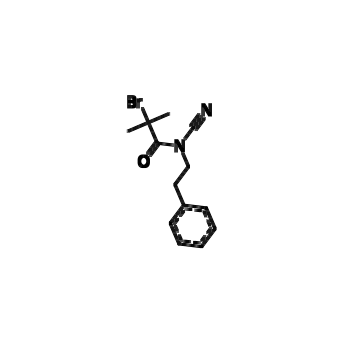 CC(C)(Br)C(=O)N(C#N)CCc1ccccc1